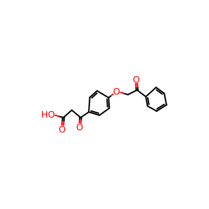 O=C(O)CC(=O)c1ccc(OCC(=O)c2ccccc2)cc1